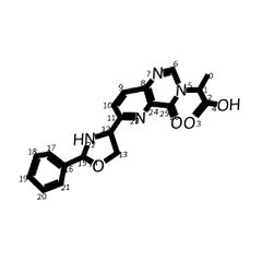 CC(C(=O)O)n1cnc2ccc(C3COC(c4ccccc4)N3)nc2c1=O